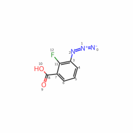 [N-]=[N+]=Nc1cccc(C(=O)O)c1F